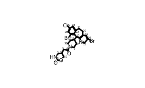 O=C1NCC(CC(=O)N2CCC(C3c4ncc(Br)cc4CCc4cc(Cl)cc(Br)c43)CC2)CO1